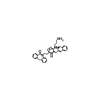 NCCCNC(=O)[C@@H](Cc1ccc2ccccc2c1)NC(=O)CCN1C(=O)c2ccccc2Cc2ccccc21